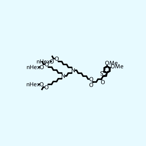 CCCCCCOC(C)OCCCCCCN(CCCCCCOC(=O)CCC(=O)c1cc2cc(OC)c(OC)cc2s1)CCCN(CCCCCCOC(C)OCCCCCC)CCCCCCOC(C)OCCCCCC